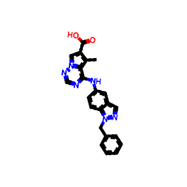 Cc1c(C(=O)O)cn2ncnc(Nc3ccc4c(cnn4Cc4ccccc4)c3)c12